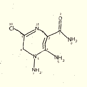 NC(=O)C1=C(N)N(N)CC(Cl)=N1